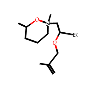 C=C(C)COC(CC)C[Si]1(C)CCCC(C)O1